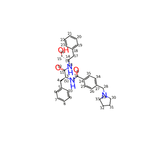 O=C(N[C@@H](Cc1ccccc1)C(=O)N[C@H](CO)Cc1ccccc1)c1ccc(CN2CCCC2)cc1